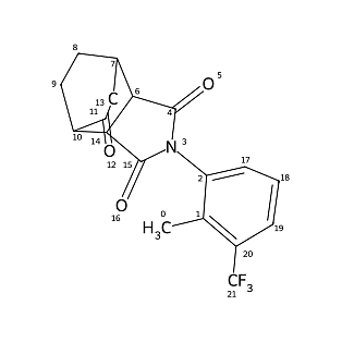 Cc1c(N2C(=O)C3C4CCC(C(=O)C4)C3C2=O)cccc1C(F)(F)F